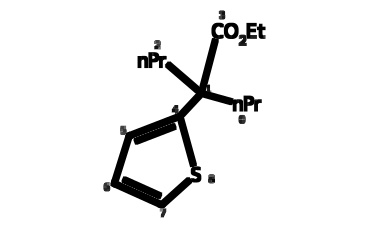 CCCC(CCC)(C(=O)OCC)c1cccs1